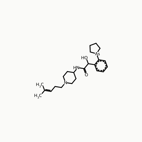 CC(C)=CCCN1CCC(NC(=O)C(O)c2ccccc2[As]2CCCC2)CC1